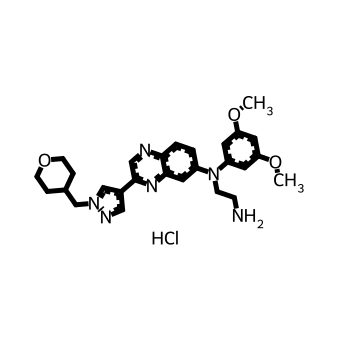 COc1cc(OC)cc(N(CCN)c2ccc3ncc(-c4cnn(CC5CCOCC5)c4)nc3c2)c1.Cl